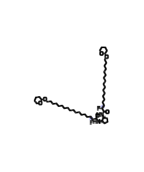 O=C(N[C@H]1CCC[C@H]1NC(=O)/C(F)=C/CCCCCCCCCCCCCCCOC1CCCCO1)/C(F)=C/CCCCCCCCCCCCCCCOC1CCCCO1